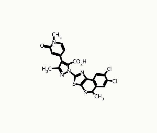 Cc1nn(-c2nc3c(s2)SC(C)c2cc(Cl)c(Cl)cc2-3)c(C(=O)O)c1-c1ccn(C)c(=O)c1